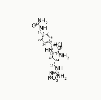 Cl.NC(=O)NCc1ccc(CN[C@H](CCCNC(N)=N[N+](=O)[O-])C(N)=O)cc1